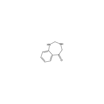 O=C1CNCNc2ccccc21